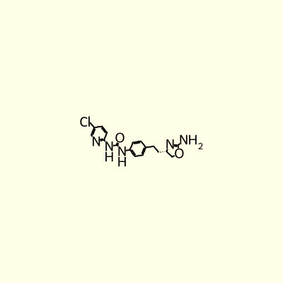 NC1=N[C@@H](CCc2ccc(NC(=O)Nc3ccc(Cl)cn3)cc2)CO1